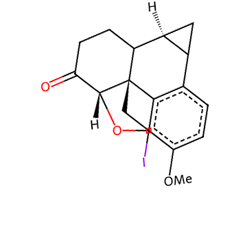 COc1ccc2c3c1O[C@@H]1C(=O)CCC([C@H]4CC24)[C@]31CCI